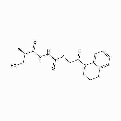 C[C@H](CO)C(=O)NNC(=O)SCC(=O)N1CCCc2ccccc21